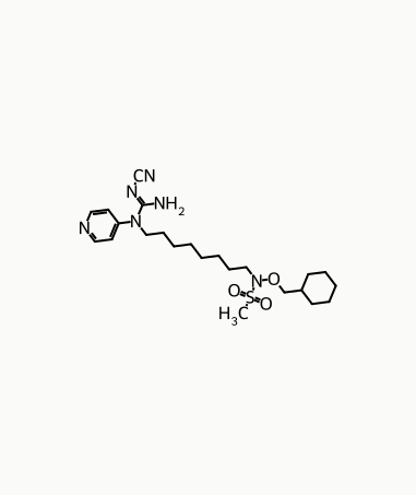 CS(=O)(=O)N(CCCCCCCCN(C(N)=NC#N)c1ccncc1)OCC1CCCCC1